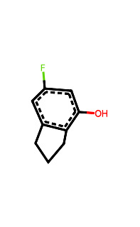 Oc1cc(F)cc2c1CCC2